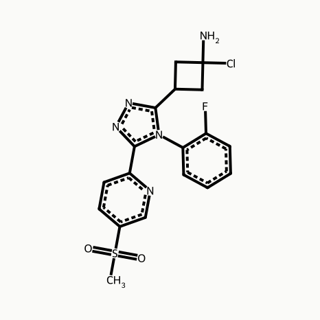 CS(=O)(=O)c1ccc(-c2nnc(C3CC(N)(Cl)C3)n2-c2ccccc2F)nc1